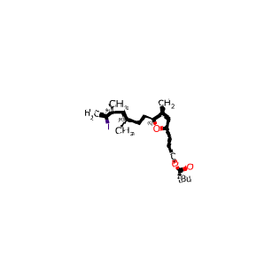 C=C(I)[C@H](C)C[C@H](C)CC[C@@H]1OC(CCCOC(=O)C(C)(C)C)CC1=C